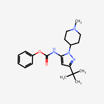 CN1CCC(n2nc(C(C)(C)C)cc2NC(=O)Oc2ccccc2)CC1